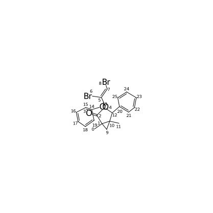 CC1(C(=O)OC(Br)=CBr)CC1(C)C(Oc1ccccc1)c1ccccc1